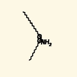 CCCCCCCCC=CCCCCCCCCOCC(CN)OCCCCCCCCCCCC